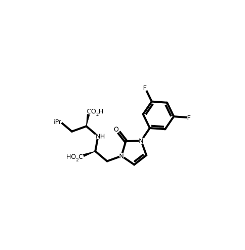 CC(C)C[C@H](N[C@@H](Cn1ccn(-c2cc(F)cc(F)c2)c1=O)C(=O)O)C(=O)O